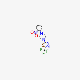 O=[N+]([O-])c1ccccc1N1CCN(c2nnc(C(F)(F)F)s2)CC1